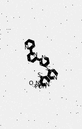 O=[N+]([O-])O.[Pt+2].[S-]c1ccncc1.[S-]c1ccncc1.c1ccc(-c2cccc(-c3ccccn3)n2)nc1